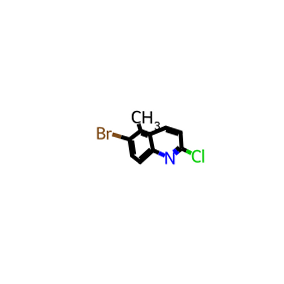 Cc1c(Br)ccc2nc(Cl)ccc12